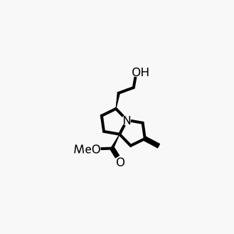 C=C1CN2[C@H](CCO)CC[C@@]2(C(=O)OC)C1